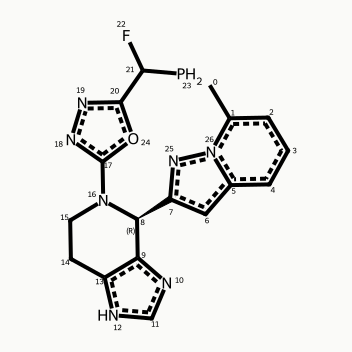 Cc1cccc2cc([C@H]3c4nc[nH]c4CCN3c3nnc(C(F)P)o3)nn12